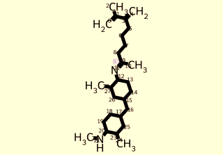 C=C(C)C(=C)CCCC/C(C)=N/C1CCC(CC2CCC(NC)C(C)C2)CC1C